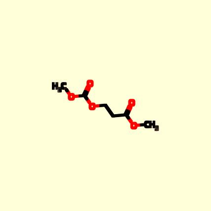 COC(=O)CCOC(=O)OC